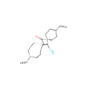 CCCCCCC1CC[C@]2(CC1)C(=O)[C@@]1(CCC(CCCCCC)CC1)C2F